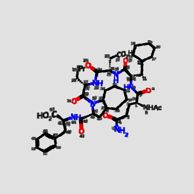 CC(=O)N[C@@H](CCC(N)=O)C(=O)N[C@@H](CC1CCCCC1)C(=O)N[C@@H](CC(=O)O)C(=O)N[C@@H](CC(C)C)C(=O)N1C2CCCCCC2C[C@H]1C(=O)N[C@@H](Cc1ccccc1)C(=O)O